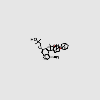 CC(C)(O)COc1cc(-c2ccc(N3C4CC3CN(C(=O)OC(C)(C)C)C4)nc2)c2c(C#N)cnn2c1